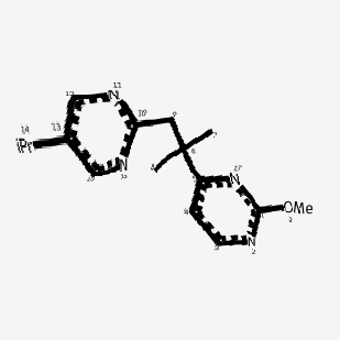 COc1nccc(C(C)(C)Cc2ncc(C(C)C)cn2)n1